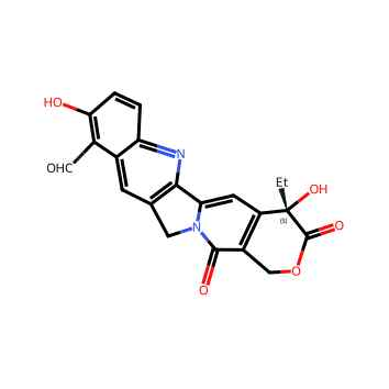 CC[C@@]1(O)C(=O)OCc2c1cc1n(c2=O)Cc2cc3c(C=O)c(O)ccc3nc2-1